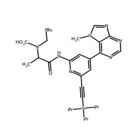 CC(C(=O)Nc1cc(-c2ncnc3ncn(C)c23)cc(C#C[Si](C(C)C)(C(C)C)C(C)C)n1)N(CC(C)(C)C)C(=O)O